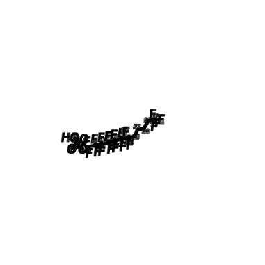 O=S(=O)(O)OC(F)(F)C(F)(F)C(F)(F)C(F)(F)C(F)(F)C(F)(F)C(F)(F)CCCCC(F)(F)F